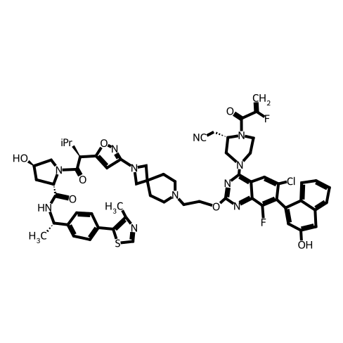 C=C(F)C(=O)N1CCN(c2nc(OCCN3CCC4(CC3)CN(c3cc([C@@H](C(=O)N5C[C@H](O)C[C@H]5C(=O)N[C@@H](C)c5ccc(-c6scnc6C)cc5)C(C)C)on3)C4)nc3c(F)c(-c4cc(O)cc5ccccc45)c(Cl)cc23)C[C@@H]1CC#N